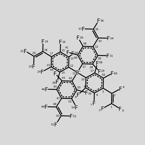 FC(F)=C(F)c1c(F)c(F)c([B-](c2c(F)c(F)c(C(F)=C(F)F)c(F)c2F)(c2c(F)c(F)c(C(F)=C(F)F)c(F)c2F)c2c(F)c(F)c(C(F)=C(F)F)c(F)c2F)c(F)c1F